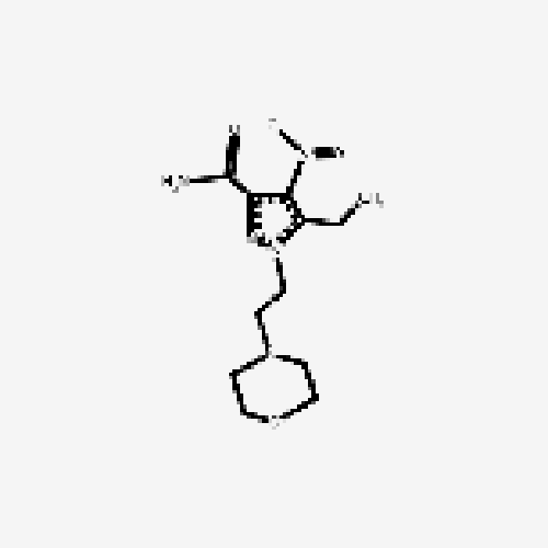 CCc1c([N+](=O)[O-])c(C(N)=O)nn1CCN1CCOCC1